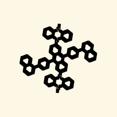 CN1c2ccccc2N(c2ccc3c(-c4ccc(-c5cccc6ccccc56)cc4)c4cc(N5c6ccccc6N(C)c6ccccc65)ccc4c(-c4ccc(-c5cccc6ccccc56)cc4)c3c2)c2ccccc21